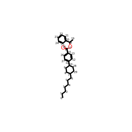 CCCCCCCC1CCC(c2ccc(C(=O)OC(C)c3ccccc3)cc2)CC1